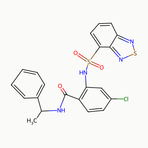 CC(NC(=O)c1ccc(Cl)cc1NS(=O)(=O)c1cccc2nsnc12)c1ccccc1